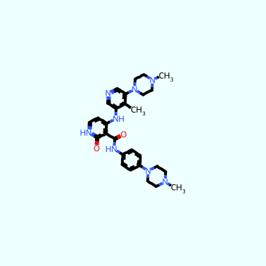 Cc1c(Nc2cc[nH]c(=O)c2C(=O)Nc2ccc(N3CCN(C)CC3)cc2)cncc1N1CCN(C)CC1